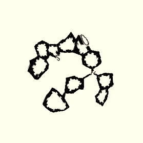 c1ccc(-c2ccc(N(c3ccc4oc5ccc6c7ccc8ccccc8c7sc6c5c4c3)c3cccc4ccccc34)cc2)cc1